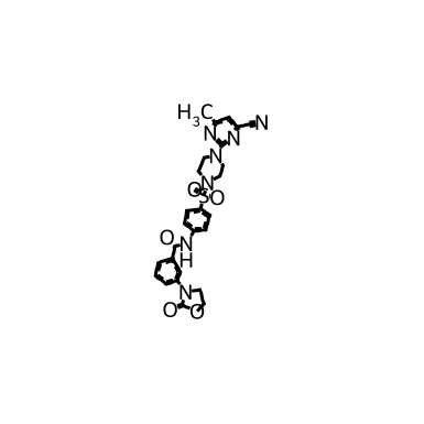 Cc1cc(C#N)nc(N2CCN(S(=O)(=O)c3ccc(NC(=O)c4cccc(N5CCOC5=O)c4)cc3)CC2)n1